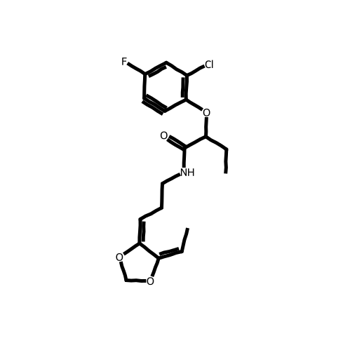 C/C=C1/OCO/C1=C/CCNC(=O)C(CC)Oc1c#cc(F)cc1Cl